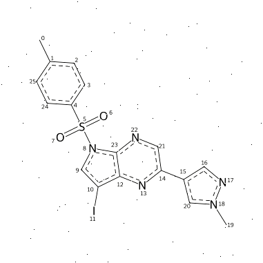 Cc1ccc(S(=O)(=O)n2cc(I)c3nc(-c4cnn(C)c4)cnc32)cc1